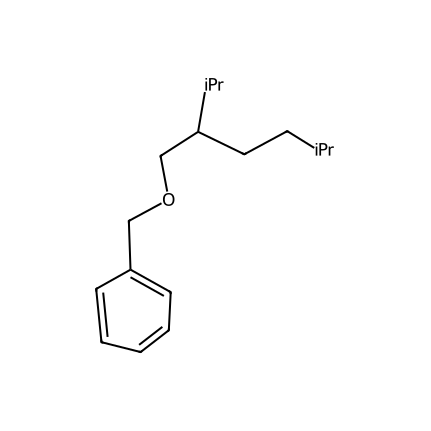 CC(C)CCC(COCc1ccccc1)C(C)C